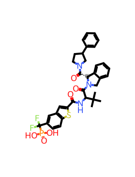 CC(C)(C)C(NC(=O)c1cc2cc(C(F)(F)P(=O)(O)O)ccc2s1)C(=O)N1Cc2ccccc2[C@H]1C(=O)N1CCC(c2ccccc2)C1